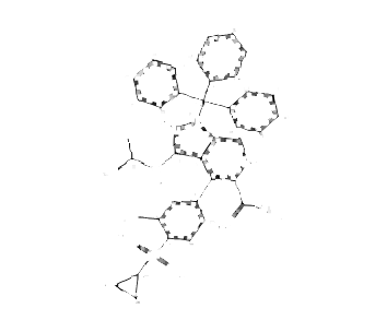 Cc1cc(-c2c(C(N)=O)ncc3c2c(OC(F)F)nn3C(c2ccccc2)(c2ccccc2)c2ccccc2)ccc1S(=O)(=O)C1CC1